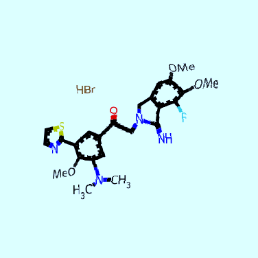 Br.COc1cc2c(c(F)c1OC)C(=N)N(CC(=O)c1cc(-c3nccs3)c(OC)c(N(C)C)c1)C2